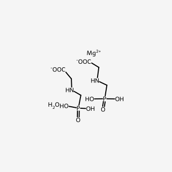 O.O=C([O-])CNCP(=O)(O)O.O=C([O-])CNCP(=O)(O)O.[Mg+2]